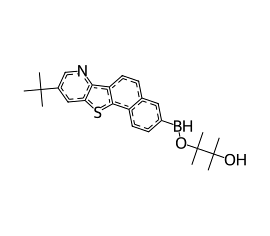 CC(C)(C)c1cnc2c(c1)sc1c3ccc(BOC(C)(C)C(C)(C)O)cc3ccc21